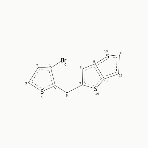 Brc1ccsc1Cc1cc2sccc2s1